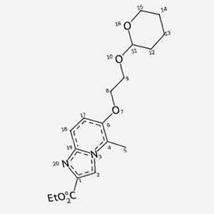 CCOC(=O)c1cn2c(C)c(OCCOC3CCCCO3)ccc2n1